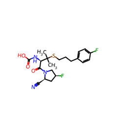 CC(C)(SCCCc1ccc(F)cc1)[C@H](NC(=O)O)C(=O)N1C[C@@H](F)C[C@H]1C#N